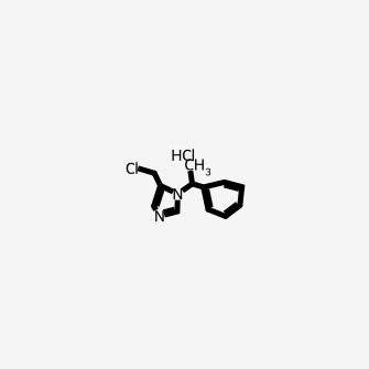 CC(c1ccccc1)n1cncc1CCl.Cl